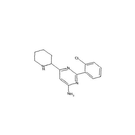 Nc1cc(C2CCCCN2)nc(-c2ccccc2Cl)n1